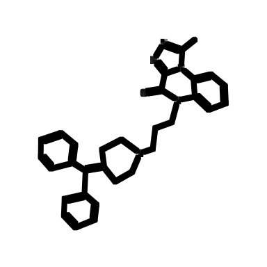 Cc1nnc2c(=O)n(CCCN3CCC(=C(c4ccccc4)c4ccccc4)CC3)c3ccccc3n12